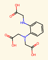 O=C(O)CNc1ccccc1N(CC(=O)O)CC(=O)O